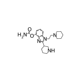 NC(=O)Oc1cccc2c1nc(C1CCCNC1)n2CCN1CCCCC1